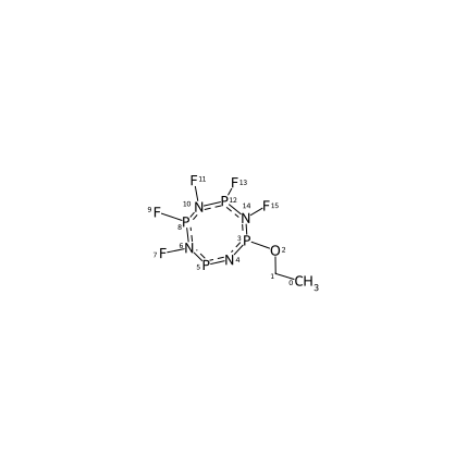 CCOp1npn(F)p(F)n(F)p(F)n1F